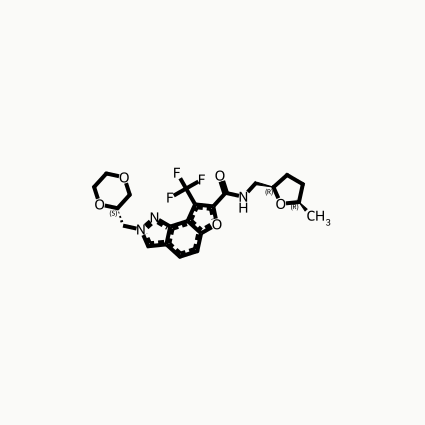 C[C@@H]1CC[C@H](CNC(=O)c2oc3ccc4cn(C[C@H]5COCCO5)nc4c3c2C(F)(F)F)O1